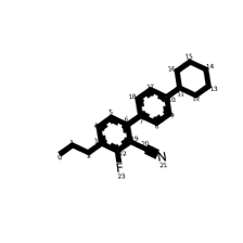 CCCc1ccc(-c2ccc(C3CCCCC3)cc2)c(C#N)c1F